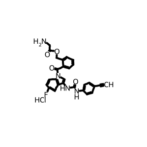 C#Cc1ccc(NC(=O)Nc2cn(C(=O)c3ccccc3COC(=O)CN)c3ccc(F)cc23)cc1.Cl